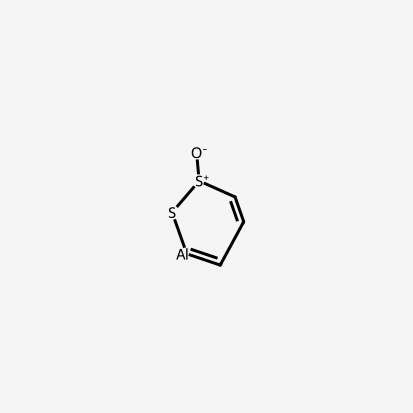 [O-][S+]1C=C[CH]=[Al][S]1